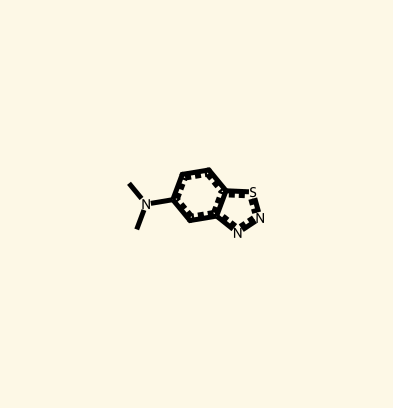 CN(C)c1ccc2snnc2c1